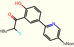 CCCCCCCCCc1ccc(-c2ccc(O)c(C(=O)C(F)CCCC)c2)nc1